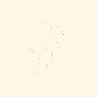 Cc1nc(C(C)c2nc(N)c3ccccc3n2)no1